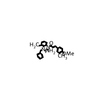 C=Cc1cccc(N(N)C(=O)/C=C/c2ccc(OC)c(C)c2)c1N(I)Cc1ccccc1